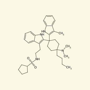 CCCCC1(N(C)C)CCC(c2[nH]c3ccccc3c2C)(c2[nH]c3ccccc3c2CCNS(=O)(=O)C2CCCC2)CC1